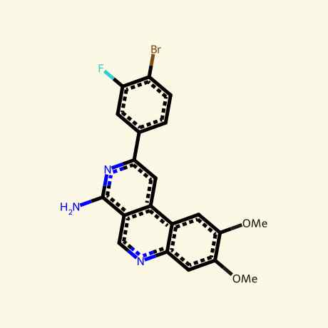 COc1cc2ncc3c(N)nc(-c4ccc(Br)c(F)c4)cc3c2cc1OC